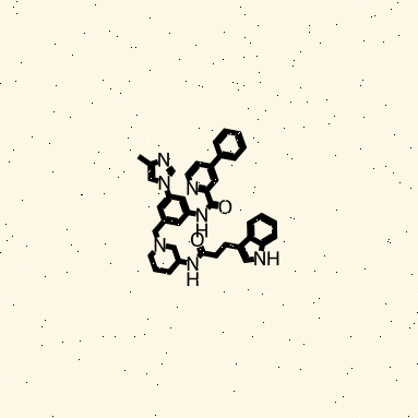 Cc1cn(-c2cc(CN3CCCC(NC(=O)CCc4c[nH]c5ccccc45)C3)cc(NC(=O)c3cc(-c4ccccc4)ccn3)c2)cn1